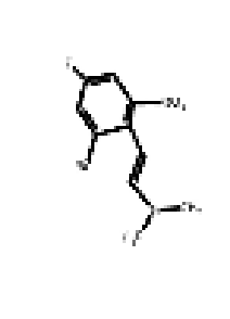 CN(C)/C=C/c1c(Br)cc(F)cc1[N+](=O)[O-]